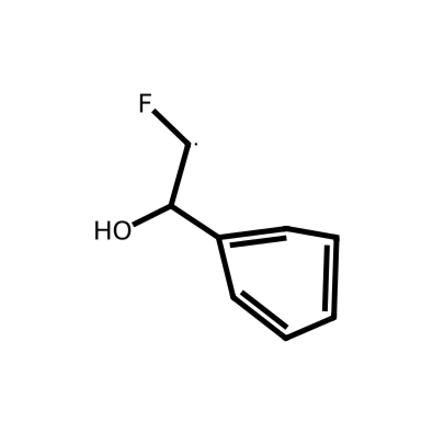 OC([CH]F)c1ccccc1